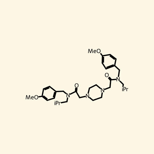 COc1ccc(CN(CC(C)C)C(=O)CN2CCN(CC(=O)N(Cc3ccc(OC)cc3)CC(C)C)CC2)cc1